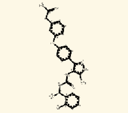 Cc1onc(-c2ccc(Oc3cccc(CC(=O)O)c3)cc2)c1NC(=O)O[C@H](C)c1ccccc1Cl